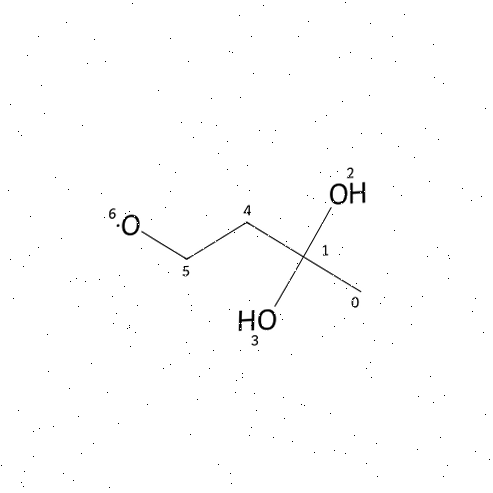 CC(O)(O)CC[O]